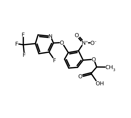 CC(Oc1cccc(Oc2ncc(C(F)(F)F)cc2F)c1[N+](=O)[O-])C(=O)O